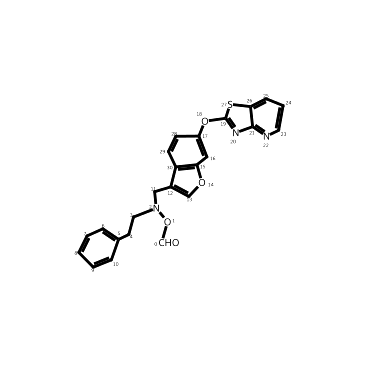 O=CON(CCc1ccccc1)Cc1coc2cc(Oc3nc4ncccc4s3)ccc12